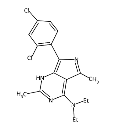 CCN(CC)c1nc(C)[nH]c2c(-c3ccc(Cl)cc3Cl)nc(C)c1-2